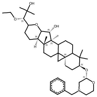 CCO[C@@H](C1CC[C@H]2C(O1)[C@H](O)[C@@]1(C)C3CCC4C(C)(C)[C@@H](O[C@H]5CN(Cc6ccccc6)CCO5)CC[C@@]45CC35CC[C@]21C)C(C)(C)O